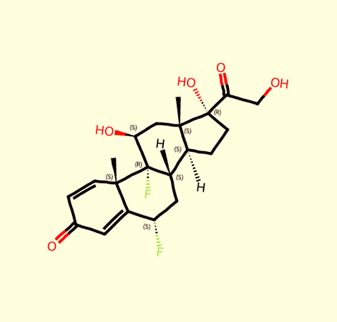 C[C@]12C=CC(=O)C=C1[C@@H](F)C[C@H]1[C@@H]3CC[C@](O)(C(=O)CO)[C@@]3(C)C[C@H](O)[C@@]12F